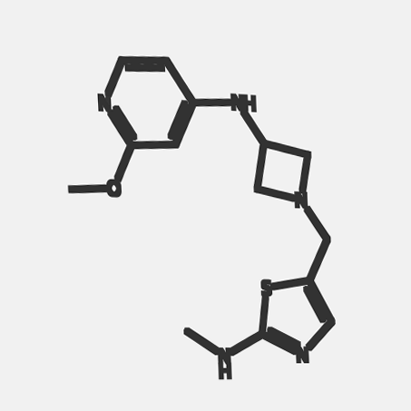 CNc1ncc(CN2CC(Nc3ccnc(OC)c3)C2)s1